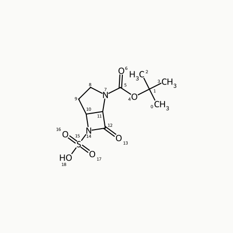 CC(C)(C)OC(=O)N1CCC2C1C(=O)N2S(=O)(=O)O